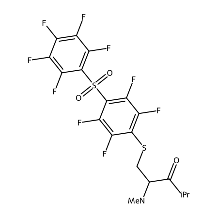 CNC(CSc1c(F)c(F)c(S(=O)(=O)c2c(F)c(F)c(F)c(F)c2F)c(F)c1F)C(=O)C(C)C